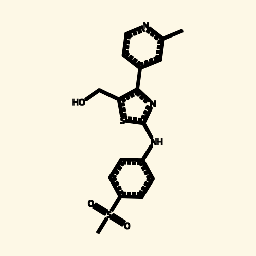 Cc1cc(-c2nc(Nc3ccc(S(C)(=O)=O)cc3)sc2CO)ccn1